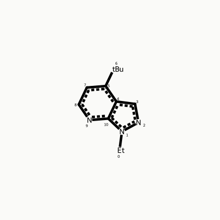 CCn1ncc2c(C(C)(C)C)ccnc21